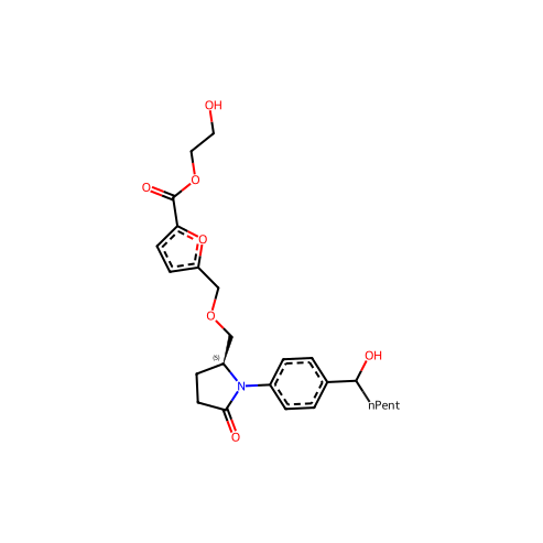 CCCCCC(O)c1ccc(N2C(=O)CC[C@H]2COCc2ccc(C(=O)OCCO)o2)cc1